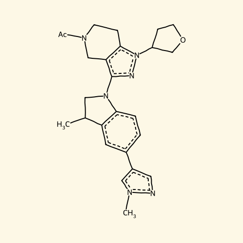 CC(=O)N1CCc2c(c(N3CC(C)c4cc(-c5cnn(C)c5)ccc43)nn2C2CCOC2)C1